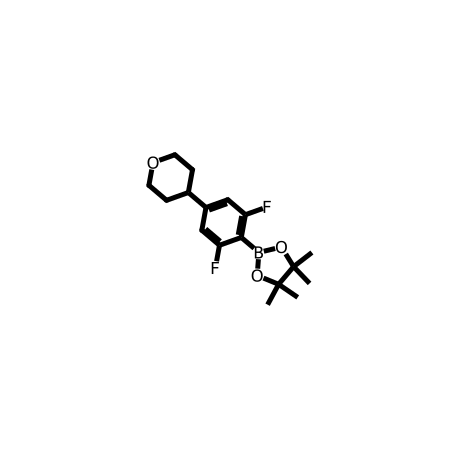 CC1(C)OB(c2c(F)cc(C3CCOCC3)cc2F)OC1(C)C